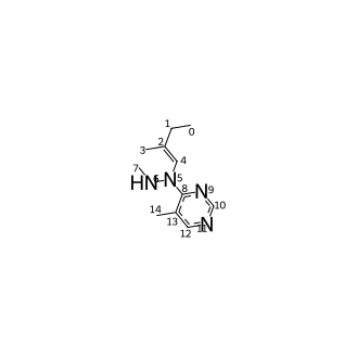 CC/C(C)=C/N(NC)c1ncncc1C